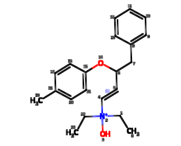 CC[N+](O)(/C=C/C(Cc1ccccc1)Oc1ccc(C)cc1)CC